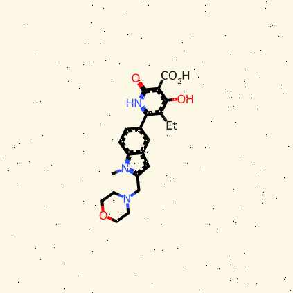 CCc1c(-c2ccc3c(c2)cc(CN2CCOCC2)n3C)[nH]c(=O)c(C(=O)O)c1O